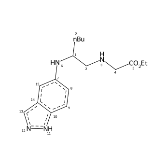 CCCCC(CNCC(=O)OCC)Nc1ccc2[nH]ncc2c1